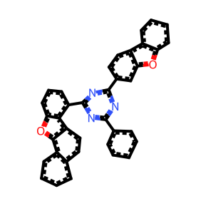 c1ccc(-c2nc(-c3ccc4c(c3)oc3ccccc34)nc(-c3cccc4oc5c6ccccc6ccc5c34)n2)cc1